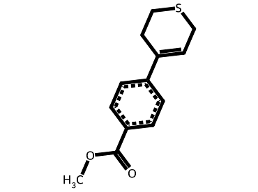 COC(=O)c1ccc(C2=CCSCC2)cc1